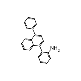 Nc1ccccc1-c1ccc(-c2ccccc2)c2ccccc12